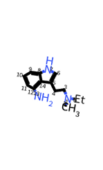 CCN(C)CCc1c[nH]c2cccc(N)c12